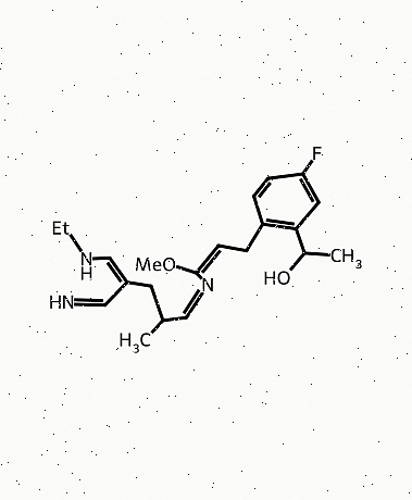 CCN/C=C(\C=N)CC(C)/C=N\C(=C/Cc1ccc(F)cc1C(C)O)OC